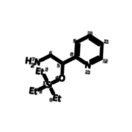 CC[Si](CC)(CC)OC(CN)c1ccccn1